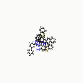 c1ccc(-c2cccc(C3N=C(c4ccc5c(c4)sc4ccccc45)N=C(c4ccc5sc6ccccc6c5c4-n4c5cc6ccccc6cc5c5cc6ccccc6cc54)N3)c2)cc1